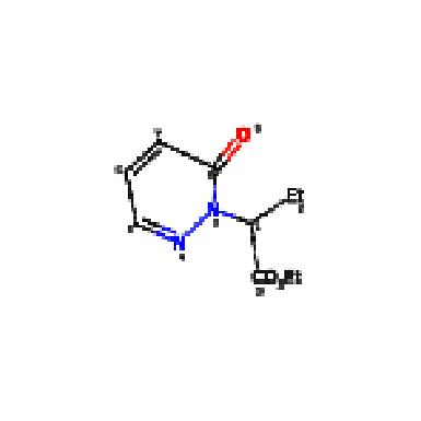 CCOC(=O)C(CC)n1ncccc1=O